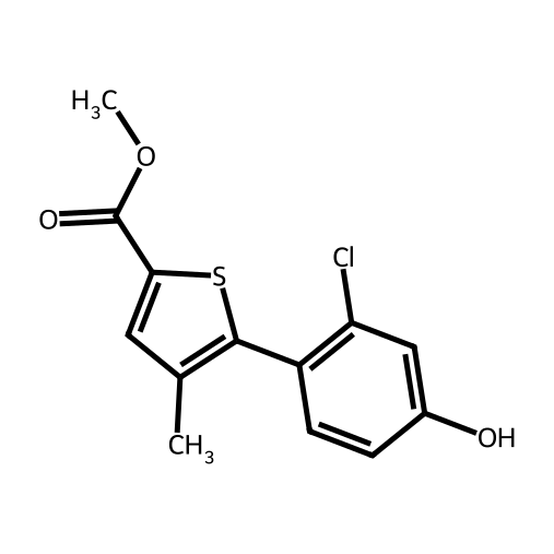 COC(=O)c1cc(C)c(-c2ccc(O)cc2Cl)s1